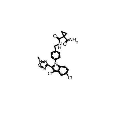 Cn1nnc(-c2c(Cl)c3cc(Cl)ccc3n2-c2ccc(CNC(=O)C3(C(N)=O)CC3)cc2)n1